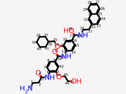 NCCC(=O)Nc1ccc(C(=O)Nc2ccc(C(O)NCCc3ccc4ccccc4c3)cc2OCC2CCCCC2)cc1OCCO